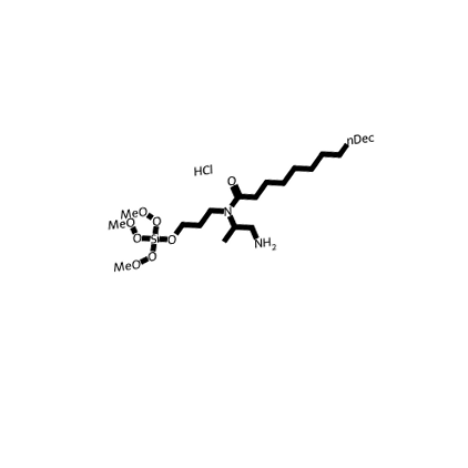 CCCCCCCCCCCCCCCCCC(=O)N(CCCO[Si](OOC)(OOC)OOC)C(C)CN.Cl